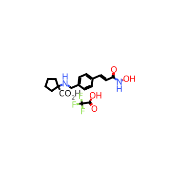 O=C(C=Cc1ccc(CNC2(C(=O)O)CCCC2)cc1)NO.O=C(O)C(F)(F)F